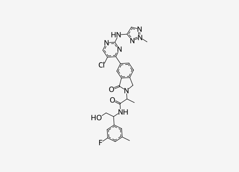 Cc1cc(F)cc(C(CO)NC(=O)C(C)N2Cc3ccc(-c4nc(Nc5cnn(C)n5)ncc4Cl)cc3C2=O)c1